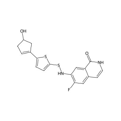 O=c1[nH]ccc2cc(F)c(NSc3ccc(C4=CCC(O)C4)s3)cc12